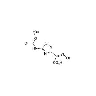 CC(C)(C)OC(=O)Nc1nc(C(=NO)C(=O)O)ns1